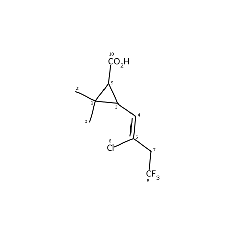 CC1(C)C(C=C(Cl)CC(F)(F)F)C1C(=O)O